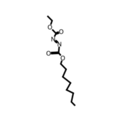 CCCCCCCCOC(=O)N=NC(=O)OCC